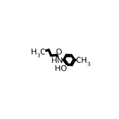 CCCC(=O)Nc1ccc(C)cc1O